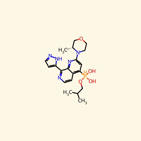 CC(C)CO[PH](O)(O)c1cc(N2CCOC[C@H]2C)nc2c(-c3ccn[nH]3)nccc12